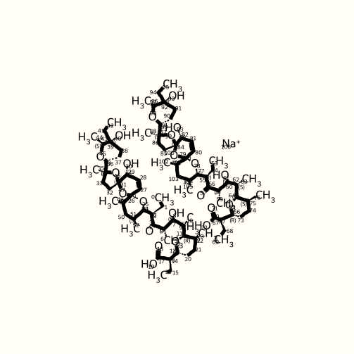 CC[C@@H](C(=O)[C@@H](C)[C@@H](O)[C@H](C)[C@@H]1O[C@@H]([C@@H](CC)C(=O)O)CC[C@@H]1C)[C@H]1O[C@]2(C=C[C@@H](O)[C@]3(CC[C@@](C)([C@H]4CC[C@](O)(CC)[C@H](C)O4)O3)O2)[C@H](C)C[C@@H]1C.CC[C@@H](C(=O)[C@@H](C)[C@@H](O)[C@H](C)[C@@H]1O[C@@H]([C@@H](CC)C(=O)O)CC[C@@H]1C)[C@H]1O[C@]2(C=C[C@@H](O)[C@]3(CC[C@@](C)([C@H]4CC[C@](O)(CC)[C@H](C)O4)O3)O2)[C@H](C)C[C@@H]1C.[Na+]